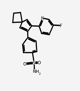 NS(=O)(=O)c1ccc(C2=CC3(C=C2c2ccc(F)cn2)CCC3)cc1